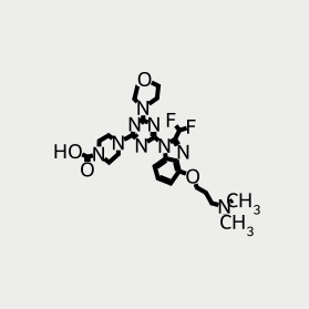 CN(C)CCCOc1cccc2c1nc(C(F)F)n2-c1nc(N2CCOCC2)nc(N2CCN(C(=O)O)CC2)n1